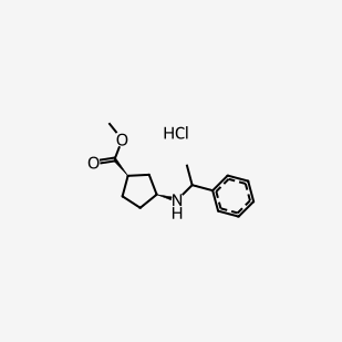 COC(=O)[C@@H]1CC[C@H](NC(C)c2ccccc2)C1.Cl